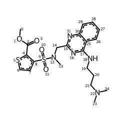 COC(=O)c1sccc1S(=O)(=O)N(C)Cc1nc(NCCCN(C)C)c2ccccc2n1